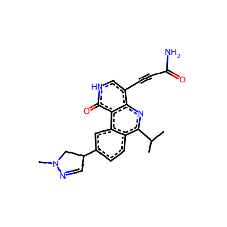 CC(C)c1nc2c(C#CC(N)=O)c[nH]c(=O)c2c2cc(C3C=NN(C)C3)ccc12